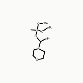 CCCCO[Si](C)(OCCCC)OC(CCC)N1CCOCC1